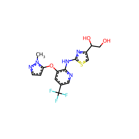 Cn1nccc1Oc1cc(C(F)(F)F)cnc1Nc1nc(C(O)CO)cs1